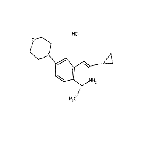 C[C@@H](N)c1ccc(N2CCOCC2)cc1/C=C/C1CC1.Cl